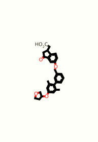 Cc1cc(OC2CCOC2)cc(C)c1-c1cccc(COc2ccc3c(c2)C(=O)CC3CC(=O)O)c1